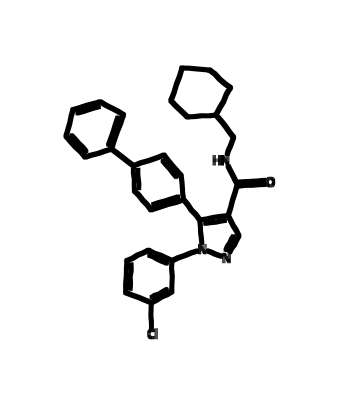 O=C(NCC1CCCCC1)c1cnn(-c2cccc(Cl)c2)c1-c1ccc(-c2ccccc2)cc1